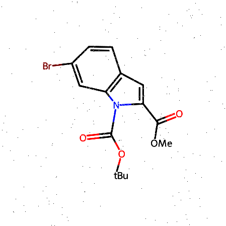 COC(=O)c1cc2ccc(Br)cc2n1C(=O)OC(C)(C)C